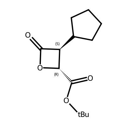 CC(C)(C)OC(=O)[C@@H]1OC(=O)[C@H]1C1CCCC1